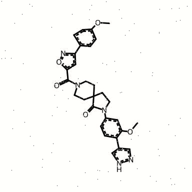 COc1ccc(-c2cc(C(=O)N3CCC4(CC3)CCN(c3ccc(-c5cn[nH]c5)c(OC)c3)C4=O)on2)cc1